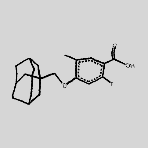 Cc1cc(C(=O)O)c(F)cc1OCC12CC3CC(CC(C3)C1)C2